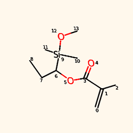 C=C(C)C(=O)OC(CC)[Si](C)(C)OC